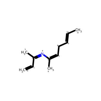 C=C/C(C)=N\C(C)=C/C/C=C/C